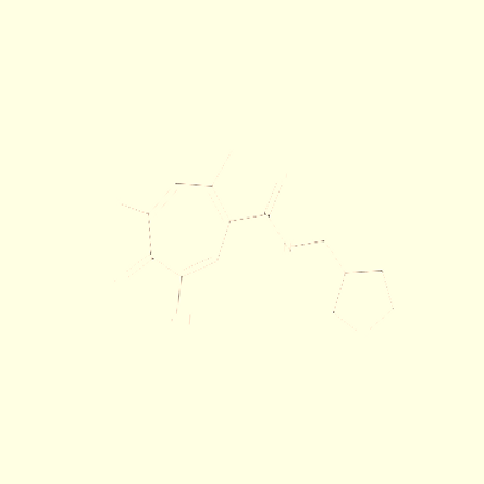 Cc1cc(O)c(=O)c(O)cc1C(=O)NCC1CCOC1